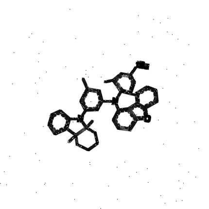 Cc1cc(N(c2c(C)cc(C(C)(C)C)cc2C)c2cccc3oc4ccccc4c23)cc(N2c3ccccc3C3(C)CCCCC23C)c1